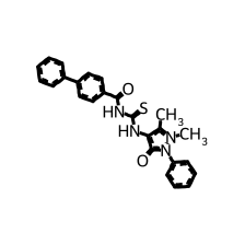 Cc1c(NC(=S)NC(=O)c2ccc(-c3ccccc3)cc2)c(=O)n(-c2ccccc2)n1C